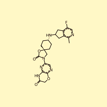 Cc1ncc(F)c2c1CC(N[C@H]1CC[C@@]3(CC1)CN(c1cnc4c(n1)NC(=O)CO4)C(=O)O3)C2